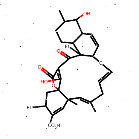 CCC1CC23OC(=O)C(=C2O)C(=O)C2(CC)C(C=CC4C(O)C(C)CCC42)C/C=C/C/C(C)=C/C3(C)C=C1C(=O)O